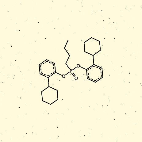 CCCCP(=O)(Oc1ccccc1C1CCCCC1)Oc1ccccc1C1CCCCC1